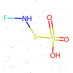 O=S(=O)(O)SNF